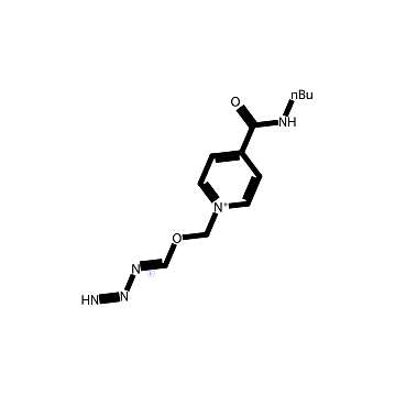 CCCCNC(=O)c1cc[n+](CO/C=N/N=N)cc1